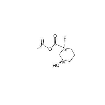 CPOC(=O)[C@@]1(F)CCC[C@@H](O)C1